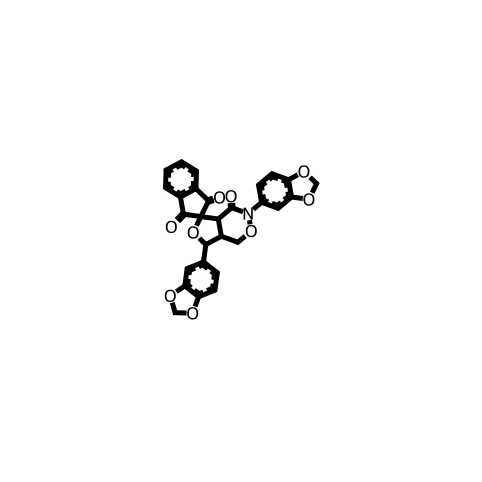 O=C1C2C(CON1c1ccc3c(c1)OCO3)C(c1ccc3c(c1)OCO3)OC21C(=O)c2ccccc2C1=O